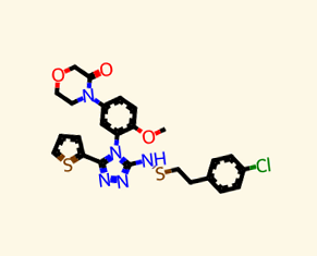 COc1ccc(N2CCOCC2=O)cc1-n1c(NSCCc2ccc(Cl)cc2)nnc1-c1cccs1